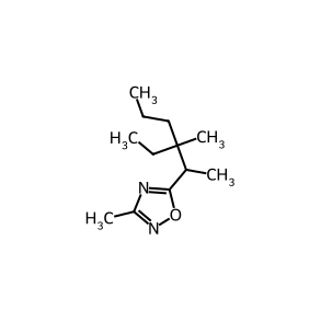 CCCC(C)(CC)C(C)c1nc(C)no1